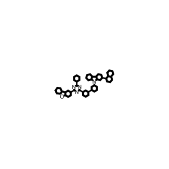 c1ccc(-c2nc(-c3cccc(-c4cccc(-n5c6ccccc6c6ccc(-c7cccc8ccccc78)cc65)c4)c3)nc(-c3ccc4oc5ccccc5c4c3)n2)cc1